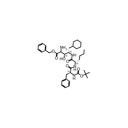 CCCC[C@H](NC(=O)[C@H](Cc1ccccc1)NC(=O)OC(C)(C)C)C(=O)N[C@@H](CC1CCCCC1)[C@@H](O)C(N)C(=O)OCc1ccccc1